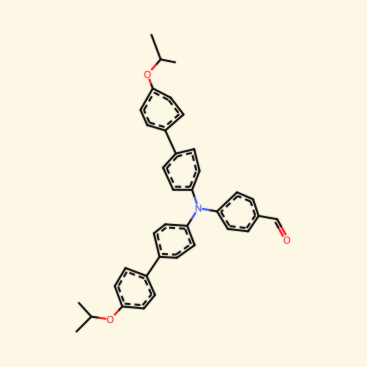 CC(C)Oc1ccc(-c2ccc(N(c3ccc(C=O)cc3)c3ccc(-c4ccc(OC(C)C)cc4)cc3)cc2)cc1